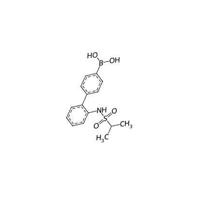 CC(C)S(=O)(=O)Nc1ccccc1-c1ccc(B(O)O)cc1